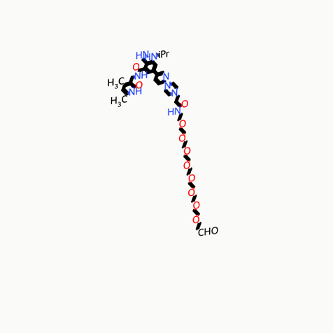 Cc1cc(C)c(CNC(=O)c2cc(-c3ccc(N4CCN(CCC(=O)NCCOCCOCCOCCOCCOCCOCCOCCOCCC=O)CC4)nc3)cc(NC(C)C)c2C=N)c(=O)[nH]1